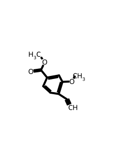 C#Cc1ccc(C(=O)OC)cc1OC